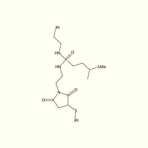 CSC(C)CCP(=O)(NCCC(C)C)NCCN1C(=O)CC(SC(C)C)C1=O